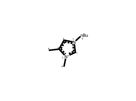 CCCCn1cc(C)[n+](C)c1